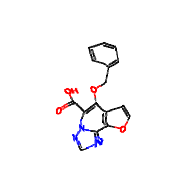 O=C(O)c1c(OCc2ccccc2)c2ccoc2c2ncnn12